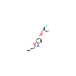 CCCCc1nc2ccc(COC/C(=C/F)CC)cc2o1